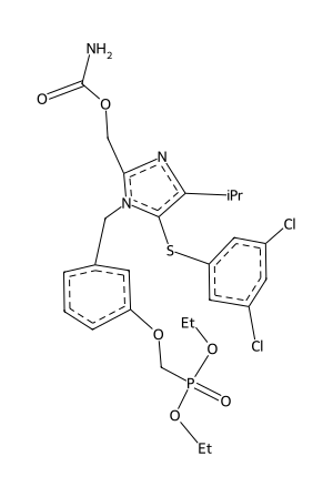 CCOP(=O)(COc1cccc(Cn2c(COC(N)=O)nc(C(C)C)c2Sc2cc(Cl)cc(Cl)c2)c1)OCC